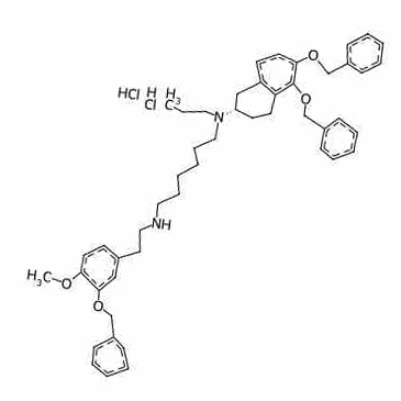 CCCN(CCCCCCNCCc1ccc(OC)c(OCc2ccccc2)c1)[C@H]1CCc2c(ccc(OCc3ccccc3)c2OCc2ccccc2)C1.Cl.Cl